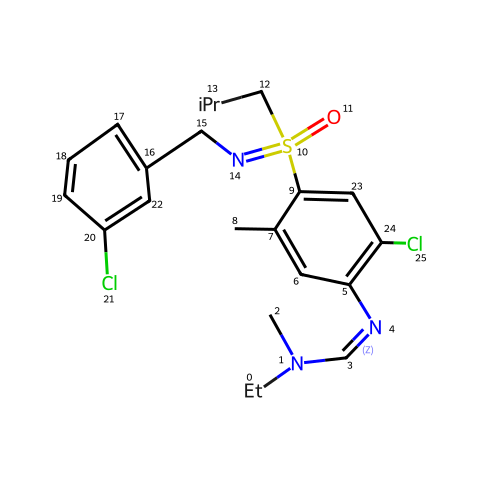 CCN(C)/C=N\c1cc(C)c(S(=O)(CC(C)C)=NCc2cccc(Cl)c2)cc1Cl